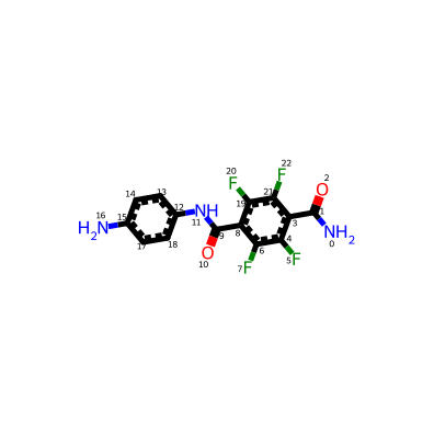 NC(=O)c1c(F)c(F)c(C(=O)Nc2ccc(N)cc2)c(F)c1F